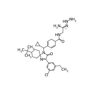 CCc1cc(Cl)cc(C2=NC3(CCC(C(C)(C)C)CC3)N(C(C3=CCC(C(=O)NC/C(N)=N/NN)C=C3)C3CC3)C2=O)c1